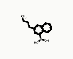 CCCCc1cc(B(O)O)c2ccccc2c1